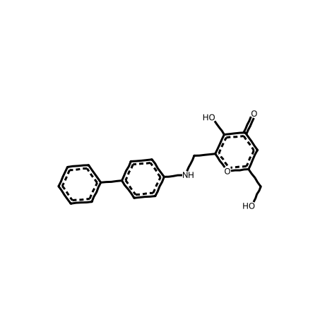 O=c1cc(CO)oc(CNc2ccc(-c3ccccc3)cc2)c1O